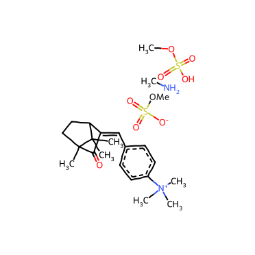 CC12CCC(C(=Cc3ccc([N+](C)(C)C)cc3)C1=O)C2(C)C.CN.COS(=O)(=O)O.COS(=O)(=O)[O-]